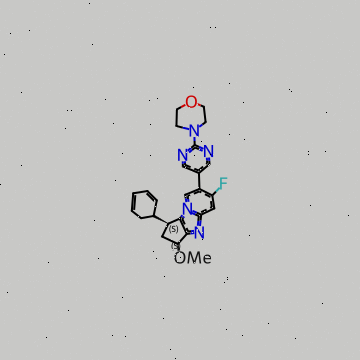 CO[C@H]1C[C@@H](C2C=CC=CC2)c2c1nc1cc(F)c(-c3cnc(N4CCOCC4)nc3)cn21